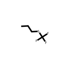 CC[CH]SC(F)(F)F